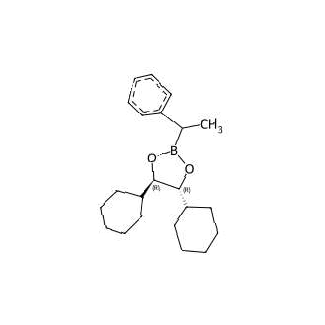 CC(B1O[C@H](C2CCCCC2)[C@@H](C2CCCCC2)O1)c1ccccc1